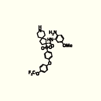 COc1ccc(N)c(NC(=O)C2(S(=O)(=O)c3ccc(Oc4ccc(OC(F)(F)F)cc4)cc3)CCC3(CCNCC3)C2)c1